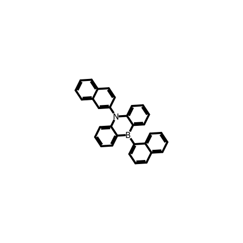 c1ccc2c(c1)B(c1cccc3ccccc13)c1ccccc1N2c1ccc2ccccc2c1